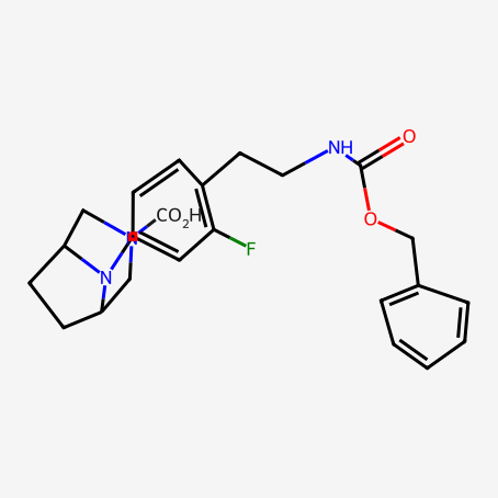 O=C(NCCc1ccc(N2C3CCC2CN(C(=O)O)C3)cc1F)OCc1ccccc1